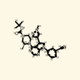 C[C@H]1CN(C(=O)OC(C)(C)C)CCN1c1ncnc2c1c(-c1cnn(C)c1)cn2-c1cccc(C#N)c1